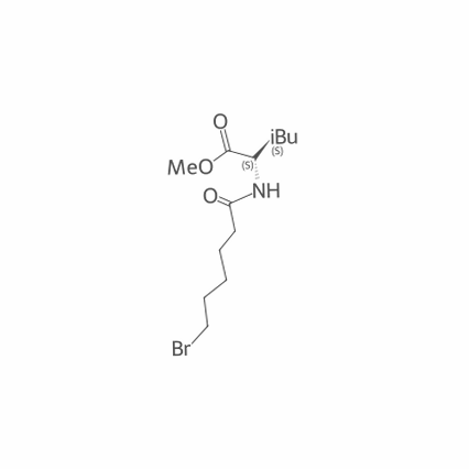 CC[C@H](C)[C@H](NC(=O)CCCCCBr)C(=O)OC